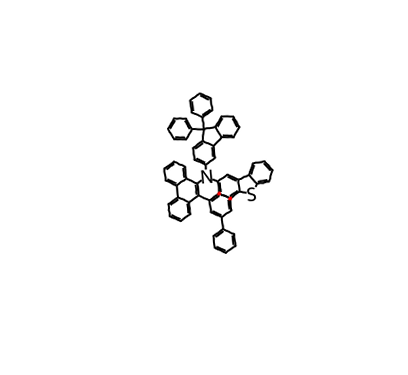 c1ccc(-c2cccc(-c3c(N(c4ccc5c(c4)-c4ccccc4C5(c4ccccc4)c4ccccc4)c4ccc5sc6ccccc6c5c4)c4ccccc4c4ccccc34)c2)cc1